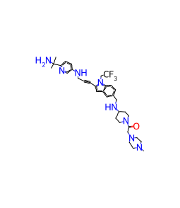 CN1CCN(CC(=O)N2CCC(NCc3ccc4c(c3)cc(C#CCNc3ccc(C(C)(C)N)nc3)n4CC(F)(F)F)CC2)CC1